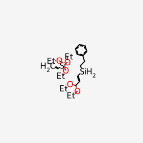 C=C[Si](OCC)(OCC)OCC.CCOC(C=C[SiH2]CCc1ccccc1)OCC